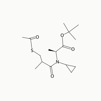 CC(=O)SCC(C)C(=O)N(C1CC1)[C@@H](C)C(=O)OC(C)(C)C